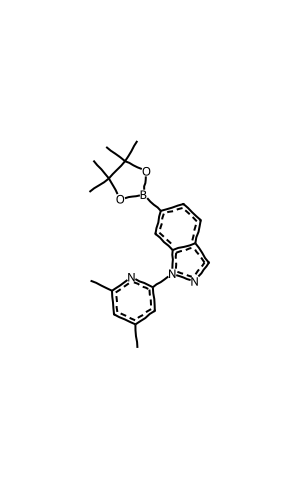 Cc1cc(C)nc(-n2ncc3ccc(B4OC(C)(C)C(C)(C)O4)cc32)c1